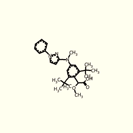 COC(C(=O)O)c1c(C(C)(C)C)cc(N(C)c2ccn(-c3ccccc3)n2)cc1C(C)(C)C